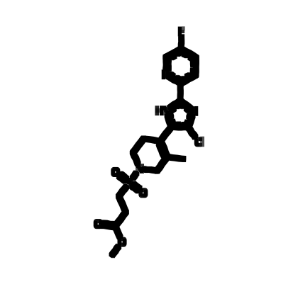 COC(=O)CCS(=O)(=O)N1CCC(c2[nH]c(-c3ccc(F)cn3)nc2Cl)=C(C)C1